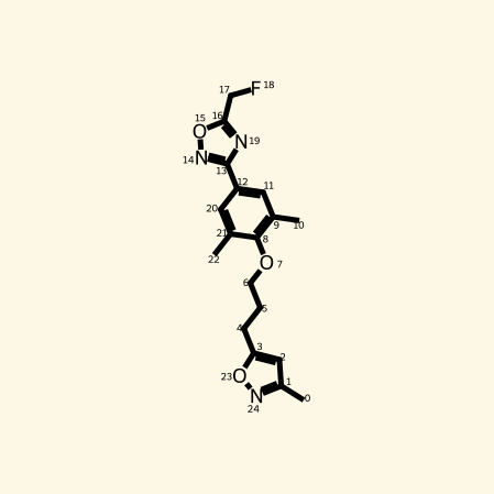 Cc1cc(CCCOc2c(C)cc(-c3noc(CF)n3)cc2C)on1